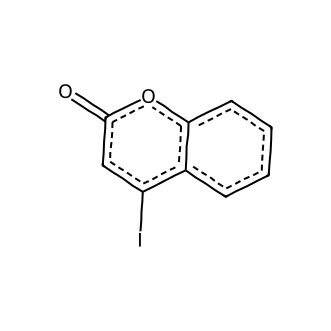 O=c1cc(I)c2ccccc2o1